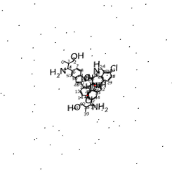 CC(CO)C(N)c1ccc2[nH]c(-c3ccc(Cl)c4c3C(C(=O)C3NCc5c(Cl)ccc(-c6cc7cc(C(N)C(C)CO)ccc7[nH]6)c53)NC4)cc2c1